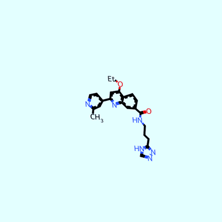 CCOc1cc(-c2ccnc(C)c2)nc2cc(C(=O)NCCCc3nnc[nH]3)ccc12